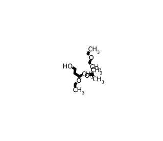 CC(C)=O.CCOC(C)CCO.CCOCC